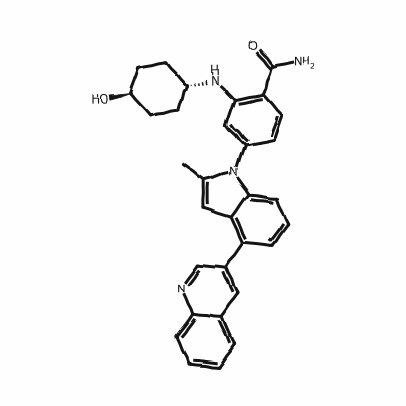 Cc1cc2c(-c3cnc4ccccc4c3)cccc2n1-c1ccc(C(N)=O)c(N[C@H]2CC[C@H](O)CC2)c1